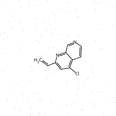 C=Cc1cc(Cl)c2ccncc2n1